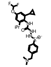 CC(C)c1cc(OC(F)F)cc(C2CC2)c1NC(=O)NN[S@+]([O-])c1ccc(CN(C)C)cc1